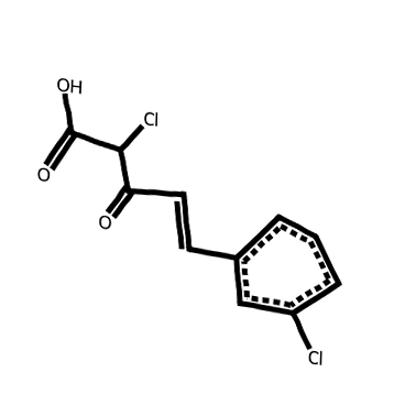 O=C(O)C(Cl)C(=O)C=Cc1cccc(Cl)c1